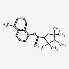 Cc1cccc2c(OC(=O)C3CC(C)(C)N(C)C3(C)C)cccc12